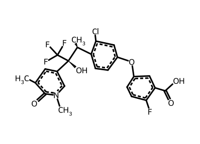 Cc1cc([C@@](O)([C@@H](C)c2ccc(Oc3ccc(F)c(C(=O)O)c3)cc2Cl)C(F)(F)F)cn(C)c1=O